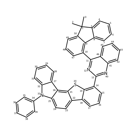 CC1(C)c2ccccc2-c2c(-c3nc(-c4cccc5c4sc4c5ccc5c4c4ccccc4n5-c4ccccc4)nc4ccccc34)cccc21